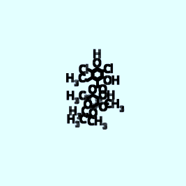 CCc1c(Cl)c(O)c(Cl)c(O)c1C(=O)OC1[C@H](C)O[C@H](OC(C)(C)C)[C@H](OC)[C@@H]1O